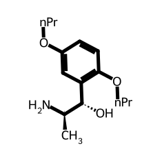 CCCOc1ccc(OCCC)c([C@H](O)[C@@H](C)N)c1